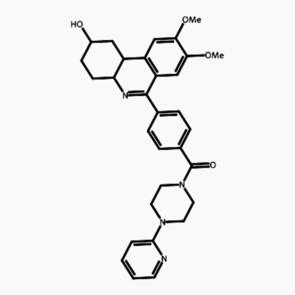 COc1cc2c(cc1OC)C1CC(O)CCC1N=C2c1ccc(C(=O)N2CCN(c3ccccn3)CC2)cc1